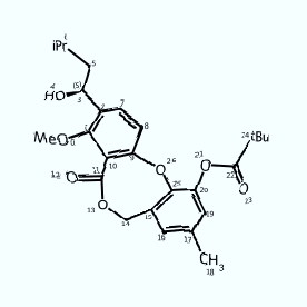 COc1c([C@@H](O)CC(C)C)ccc2c1C(=O)OCc1cc(C)cc(OC(=O)C(C)(C)C)c1O2